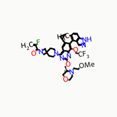 C=C(F)C(=O)N1CC2(CCN(c3nc(OC[C@@H]4COCCN4CCOC)nc4c(OCC(F)(F)F)c(-c5c(C)ccc6[nH]ncc56)c(C5CC5)cc34)CC2)C1